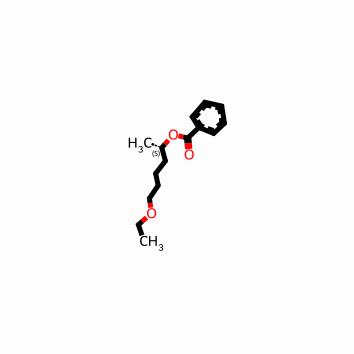 CCOCCCC[C@H](C)OC(=O)c1ccccc1